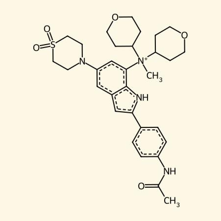 CC(=O)Nc1ccc(-c2cc3cc(N4CCS(=O)(=O)CC4)cc([N+](C)(C4CCOCC4)C4CCOCC4)c3[nH]2)cc1